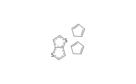 C1=CCC=C1.C1=CCC=C1.c1cc2sccc2s1